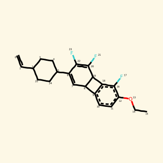 C=CC1CCC(C2=CC3c4ccc(OCC)c(F)c4C3C(F)=C2F)CC1